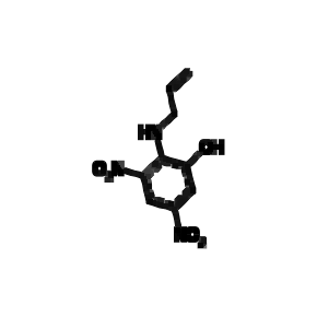 C=CCNc1c(O)cc([N+](=O)[O-])cc1[N+](=O)[O-]